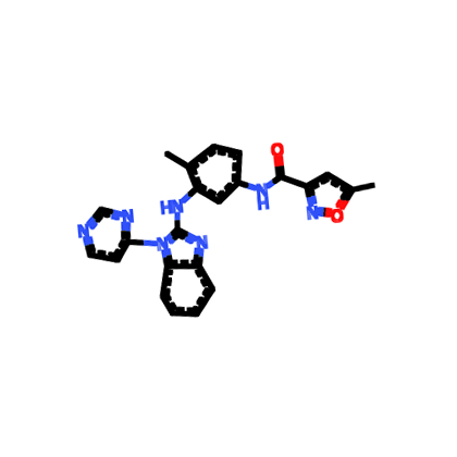 Cc1cc(C(=O)Nc2ccc(C)c(Nc3nc4ccccc4n3-c3ccncn3)c2)no1